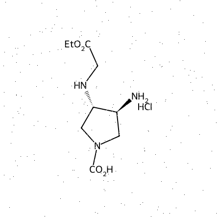 CCOC(=O)CN[C@H]1CN(C(=O)O)C[C@@H]1N.Cl